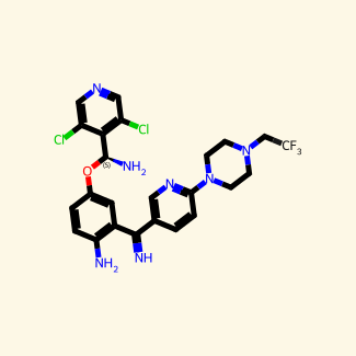 N=C(c1ccc(N2CCN(CC(F)(F)F)CC2)nc1)c1cc(O[C@H](N)c2c(Cl)cncc2Cl)ccc1N